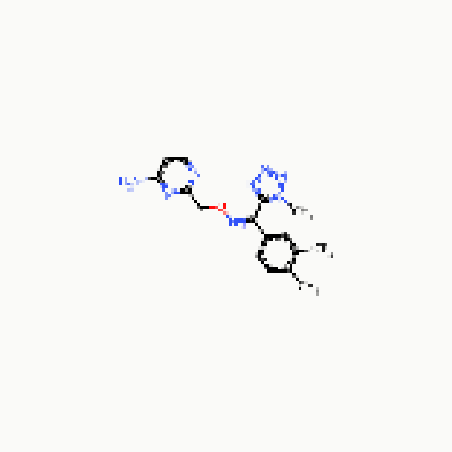 Cc1ccc(/C(=N/OCc2nccc(N)n2)c2nnnn2C)cc1C(F)(F)F